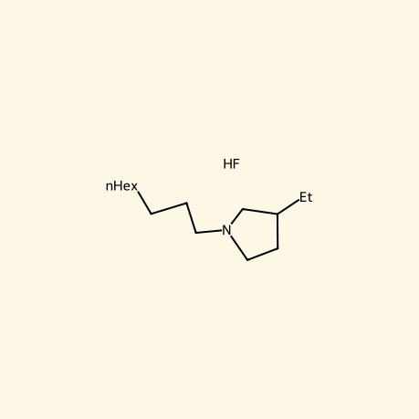 CCCCCCCCCN1CCC(CC)C1.F